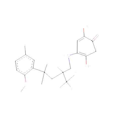 COc1ccc(F)cc1C(C)(C)CC(O)(CNC1=C(O)CC(=O)C(O)=C1)C(F)(F)F